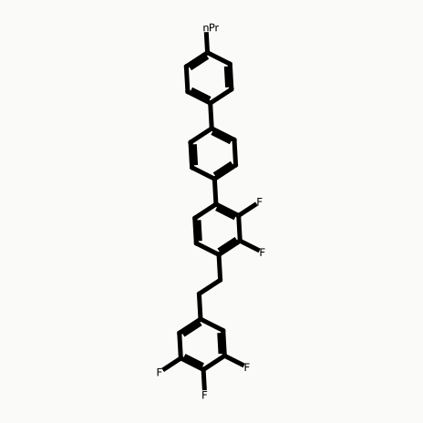 CCCc1ccc(-c2ccc(-c3ccc(CCc4cc(F)c(F)c(F)c4)c(F)c3F)cc2)cc1